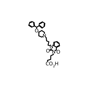 O=C(O)CCCCn1c(=O)c2ccccc2n(CCCCN2CCC(OC(c3ccccc3)c3ccccc3)CC2)c1=O